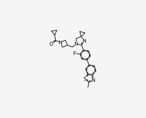 Cc1nc2ccc(-c3ccc(C4=NC5(CC5)CN4CC4CN(C(=O)C5CC5)C4)c(F)c3)cc2s1